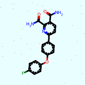 NC(=O)c1ccc(-c2ccc(Oc3ccc(F)cc3)cc2)nc1C(N)=O